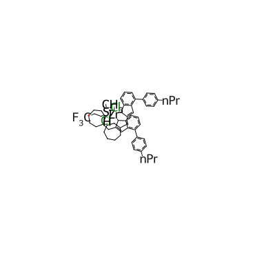 CCCc1ccc(-c2cccc3c2C=C(CC2CCCCCC2)[CH]3[Zr]([Cl])([Cl])([CH]2C(CC3CCCCCC3)=Cc3c(-c4ccc(CCC)cc4)cccc32)[SiH](C)CCC(F)(F)F)cc1